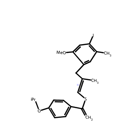 C=C(S/C=C(\C)Cc1cc(C)c(I)cc1OC)c1ccc(OC(C)C)cc1